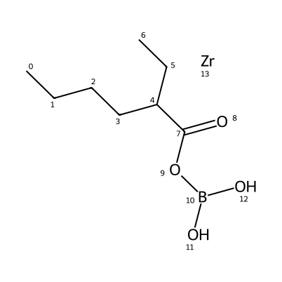 CCCCC(CC)C(=O)OB(O)O.[Zr]